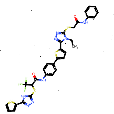 CCn1c(SCC(=O)Nc2ccccc2)nnc1-c1ccc(-c2ccc(NC(=O)C(Sc3nnc(-c4cccs4)[nH]3)C(F)(F)F)cc2)s1